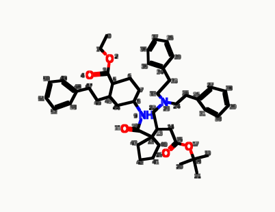 CCOC(=O)C1CCC(NC(=O)C2(C(CC(=O)OC(C)(C)C)CN(CCc3ccccc3)CCc3ccccc3)CCCC2)CC1CCc1ccccc1